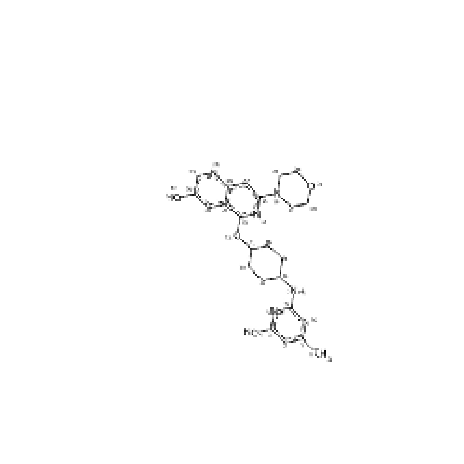 Cc1cc(C#N)nc(NC2CCC(Oc3nc(N4CCOCC4)cc4ncc(O)cc34)CC2)n1